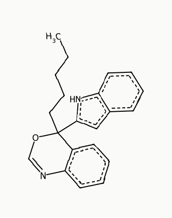 CCCCCC1(c2cc3ccccc3[nH]2)OC=Nc2ccccc21